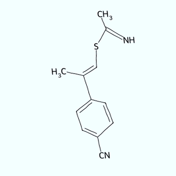 CC(=N)S/C=C(\C)c1ccc(C#N)cc1